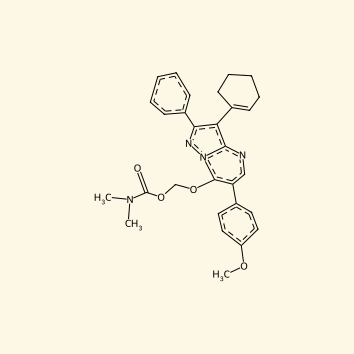 COc1ccc(-c2cnc3c(C4=CCCCC4)c(-c4ccccc4)nn3c2OCOC(=O)N(C)C)cc1